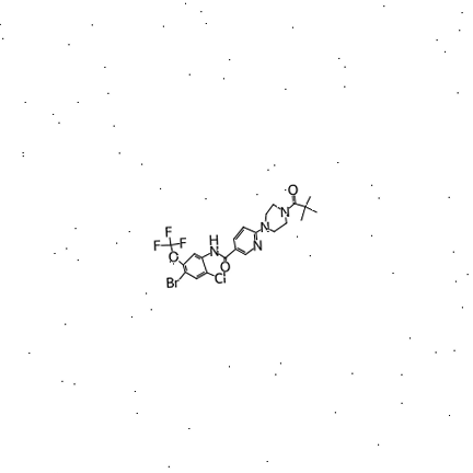 CC(C)(C)C(=O)N1CCN(c2ccc(C(=O)Nc3cc(OC(F)(F)F)c(Br)cc3Cl)cn2)CC1